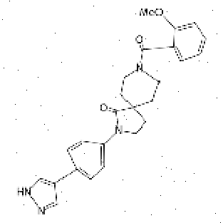 COc1ccccc1C(=O)N1CCC2(CC1)CCN(c1ccc(-c3cn[nH]c3)cc1)C2=O